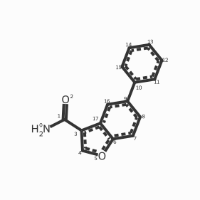 NC(=O)c1coc2ccc(-c3ccccc3)cc12